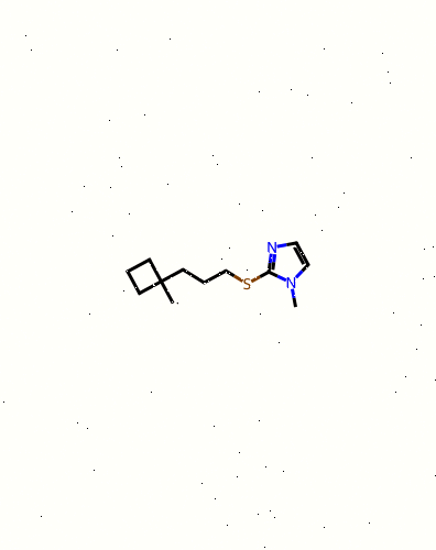 [CH2]C1(CCCSc2nccn2C)CCC1